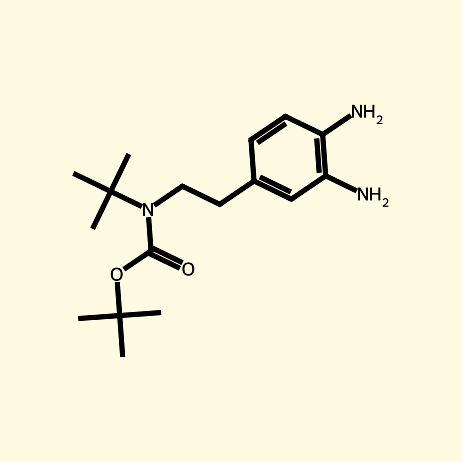 CC(C)(C)OC(=O)N(CCc1ccc(N)c(N)c1)C(C)(C)C